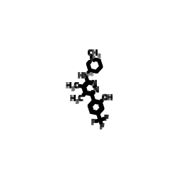 Cc1c(N[C@@H]2CCCN(C)C2)nnc(-c2ccc(C(F)(F)F)cc2O)c1C